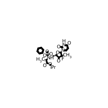 CC(C)OC(=O)[C@H](C)NP(=O)(OC[C@H]1O[C@@H](n2ccc(=O)[nH]c2=O)[C@](C)(F)C1=O)Oc1ccccc1